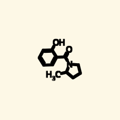 CC1CCCN1C(=O)c1ccccc1O